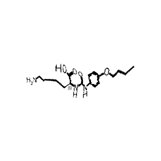 CCCCOc1ccc(NC(=O)N[C@@H](CCCCN)C(=O)O)cc1